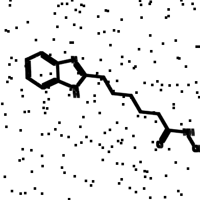 O=C(CCCCCc1nc2ccccc2[nH]1)NO